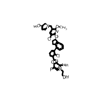 COc1nc(O[C@H]2CCc3c(-c4cccc(-c5nc6c(=N)n(CCO)cc(F)c6o5)c4Cl)cccc32)c(Cl)cc1CN1CC[C@@H](O)C1